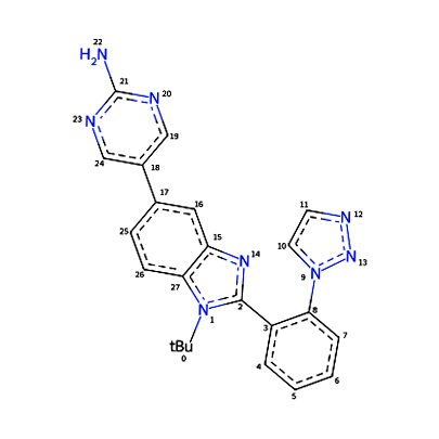 CC(C)(C)n1c(-c2ccccc2-n2ccnn2)nc2cc(-c3cnc(N)nc3)ccc21